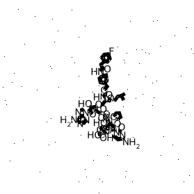 CC(C)CCOC[C@H](NC(=O)OCc1ccc(NC(=O)Cc2ccc(F)cc2)cc1)C(=O)O[C@@H]1C(COP(=O)(O)O[C@H]2[C@@H](OC3CCCO3)[C@H](n3ccc(N)nc3=O)O[C@@H]2COP(=O)(O)O)O[C@@H](n2cnc3c(N)ncnc32)[C@@H]1O